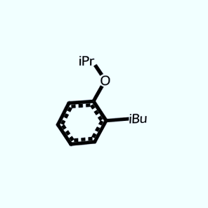 CCC(C)c1ccccc1OC(C)C